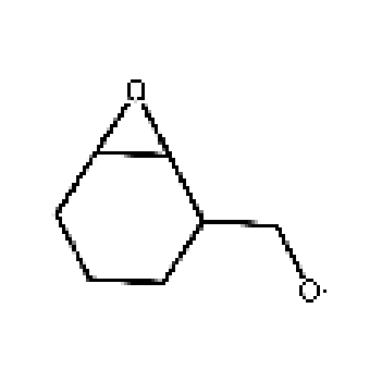 [O]CC1CCCC2OC12